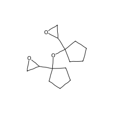 C1CCC(OC2(C3CO3)CCCC2)(C2CO2)C1